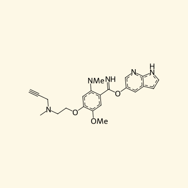 C#CCN(C)CCOc1cc(NC)c(C(=N)Oc2cnc3[nH]ccc3c2)cc1OC